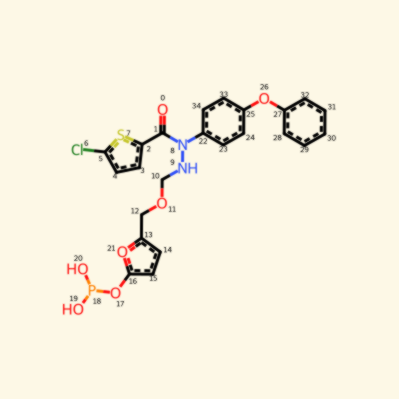 O=C(c1ccc(Cl)s1)N(NCOCc1ccc(OP(O)O)o1)c1ccc(Oc2ccccc2)cc1